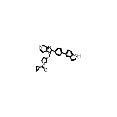 O=C(C1CC1)N1CC[C@H](Cn2c(-c3ccc(-c4ccc5[nH]ccc5c4)cc3)nc3cnccc32)C1